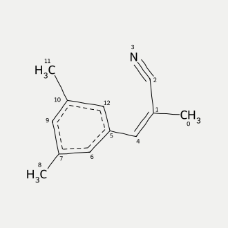 C/C(C#N)=C/c1cc(C)cc(C)c1